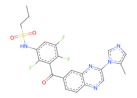 CCCS(=O)(=O)Nc1cc(F)c(F)c(C(=O)c2ccc3ncc(-n4cncc4C)nc3c2)c1F